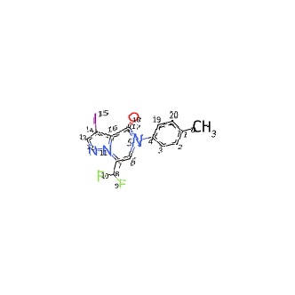 Cc1ccc(-n2cc(C(F)F)n3ncc(I)c3c2=O)cc1